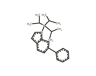 CC(C)[Si](C(C)C)(C(C)C)n1ccc2ccc(-c3ccccc3)cc21